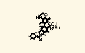 Cc1c(-c2c(C)c3c(c(C)c2[C@H](OC(C)(C)C)C(=O)O)CN(C(=O)N2CCCCC2)C3)cc(F)c2c1NCCO2